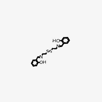 Oc1ccccc1C=NCCSSCCN=Cc1ccccc1O